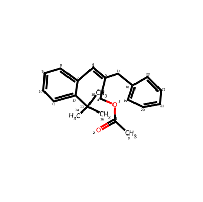 CC(=O)OCC(=Cc1ccccc1C(C)(C)C)Cc1ccccc1